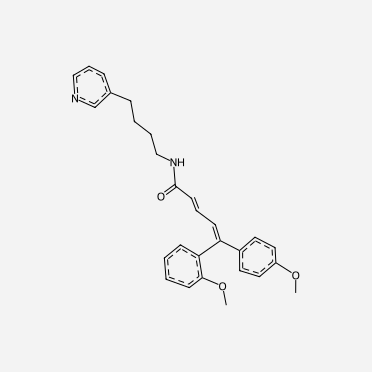 COc1ccc(C(=CC=CC(=O)NCCCCc2cccnc2)c2ccccc2OC)cc1